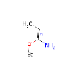 C/C=C(/N)OCC